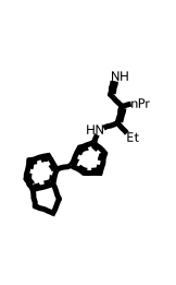 CCC/C(C=N)=C(\CC)Nc1cccc(-c2cccc3c2CCC3)c1